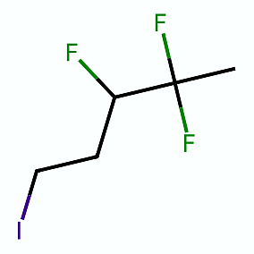 CC(F)(F)C(F)CCI